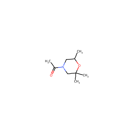 CC(=O)N1CC(C)OC(C)(C)C1